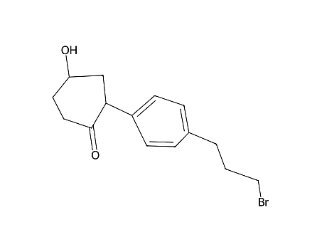 O=C1CCC(O)CC1c1ccc(CCCBr)cc1